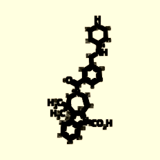 CC1(C)CN(C(=O)c2cccc(CNC3CCNCC3)c2)C=Cc2c1c1ccccc1n2C(=O)O